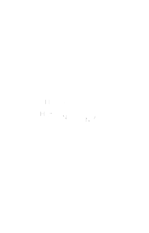 C[C@@H]1[C@@H](O)[C@H](O)[C@@H](O)CN1CC1CCN(C(=O)C2CCCCC2)CC1